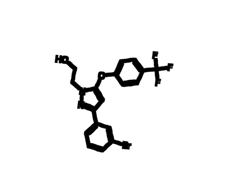 OCCn1nc(-c2cccc(Br)c2)cc1Oc1ccc(C(F)(F)F)cc1